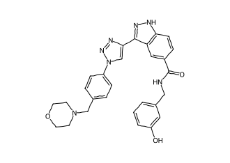 O=C(NCc1cccc(O)c1)c1ccc2[nH]nc(-c3cn(-c4ccc(CN5CCOCC5)cc4)nn3)c2c1